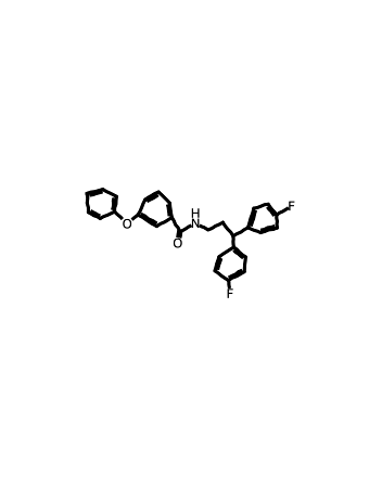 O=C(NCCC(c1ccc(F)cc1)c1ccc(F)cc1)c1cccc(Oc2ccccc2)c1